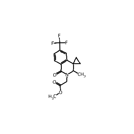 COC(=O)CN1C(=O)c2ccc(C(F)(F)F)cc2C2(CC2)C1C